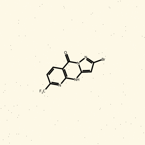 O=c1c2ccc(C(F)(F)F)nc2[nH]c2cc(Br)nn12